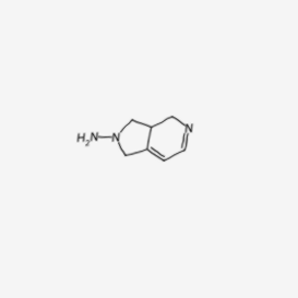 NN1CC2=CC=NCC2C1